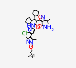 Cc1nn(COCC[Si](C)(C)C)c(C)c1-c1ccc(NC(=O)C(c2onc(C(C)C)c2C(N)=O)C(C2CCCCC2)C2CCCCC2)nc1Cl